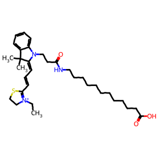 CC[N+]1=C(/C=C/C=C2/N(CCC(=O)NCCCCCCCCCCCC(=O)O)c3ccccc3C2(C)C)SCC1